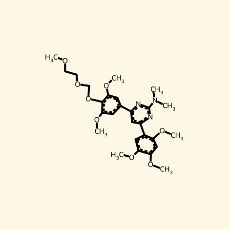 COCCOCOc1c(OC)cc(-c2cc(-c3cc(OC)c(OC)cc3OC)nc(N(C)C)n2)cc1OC